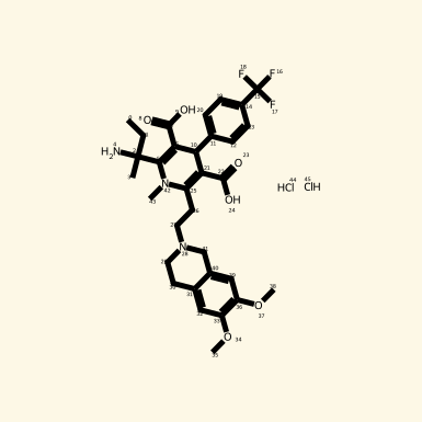 CCC(C)(N)C1=C(C(=O)O)C(c2ccc(C(F)(F)F)cc2)C(C(=O)O)=C(CCN2CCc3cc(OC)c(OC)cc3C2)N1C.Cl.Cl